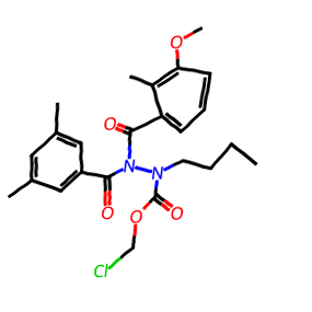 CCCCN(C(=O)OCCl)N(C(=O)c1cc(C)cc(C)c1)C(=O)c1cccc(OC)c1C